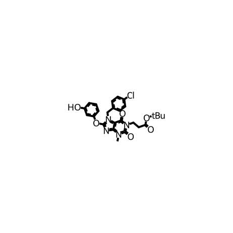 Cn1c(=O)n(CCC(=O)OC(C)(C)C)c(=O)c2c1nc(Oc1cccc(O)c1)n2Cc1ccc(Cl)cc1